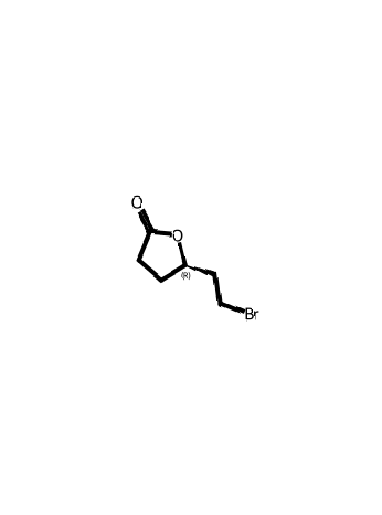 O=C1CC[C@H](CCBr)O1